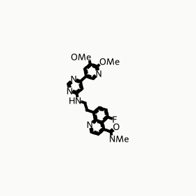 CNC(=O)c1ccnc2c(CCNc3cc(-c4cnc(OC)c(OC)c4)ncn3)ccc(F)c12